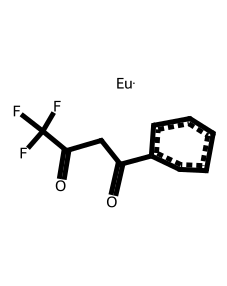 O=C(CC(=O)C(F)(F)F)c1ccccc1.[Eu]